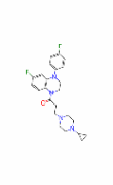 O=C(CCN1CCN(C2CC2)CC1)N1CCN(c2ccc(F)cc2)c2cc(F)ccc21